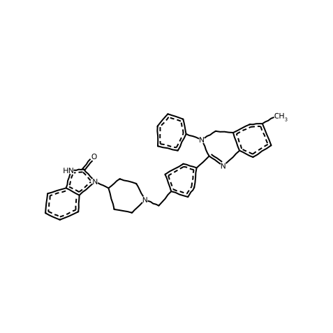 Cc1ccc2c(c1)CN(c1ccccc1)C(c1ccc(CN3CCC(n4c(=O)[nH]c5ccccc54)CC3)cc1)=N2